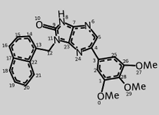 COc1cc(-c2cnc3[nH]c(=O)n(Cc4cccc5ccccc45)c3n2)cc(OC)c1OC